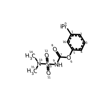 CC(C)c1cccc(OC(=O)NS(=O)(=O)N(C)C)c1